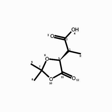 CC(C(=O)O)[C@@H]1OC(C)(C)OC1=O